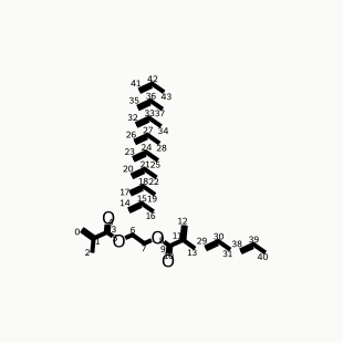 C=C(C)C(=O)OCCOC(=O)C(=C)C.C=CC.C=CC.C=CC.C=CC.C=CC.C=CC.C=CC.C=CC.C=CC.C=CC